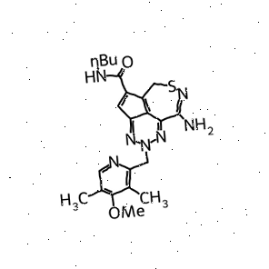 CCCCNC(=O)c1cc2nn(Cc3ncc(C)c(OC)c3C)nc3c-2c1CSN=C3N